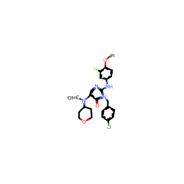 CC(C)Oc1ccc(Nc2ncc(N(C=O)C3CCOCC3)c(=O)n2Cc2ccc(Cl)cc2)cc1F